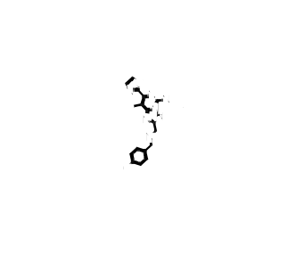 Cc1c(-c2ncco2)nc(N)n2nc(CNCc3ccc(C(F)(F)F)cc3)nc12